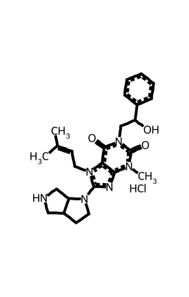 CC(C)=CCn1c(N2CCC3CNCC32)nc2c1c(=O)n(CC(O)c1ccccc1)c(=O)n2C.Cl